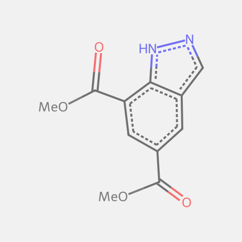 COC(=O)c1cc(C(=O)OC)c2[nH]ncc2c1